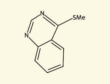 CSc1ncnc2ccccc12